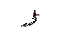 C[C@@H]1CNC(=O)c2cc3ccc(C(=O)Nc4cnn(Cc5ccc(N6CCC(N7CCN(Cc8ccnc(N9CCC(=O)NC9=O)c8)CC7)CC6)cc5)c4)nc3n21